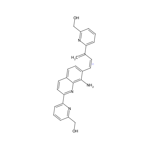 C=C(/C=C\c1ccc2ccc(-c3cccc(CO)n3)nc2c1N)c1cccc(CO)n1